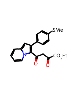 CCOC(=O)C(=O)CC(=O)c1c(-c2ccc(SC)cc2)cc2ccccn12